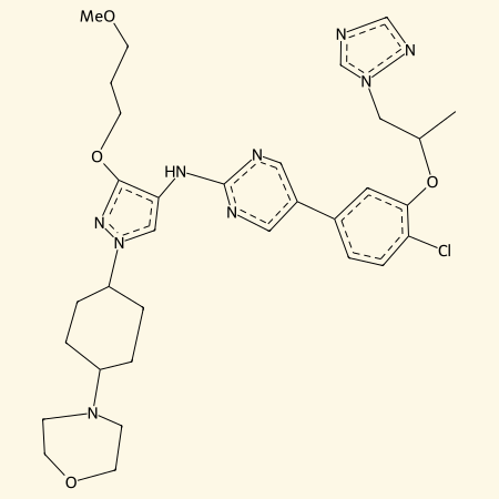 COCCCOc1nn(C2CCC(N3CCOCC3)CC2)cc1Nc1ncc(-c2ccc(Cl)c(OC(C)Cn3cncn3)c2)cn1